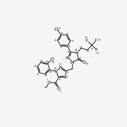 COC(=O)c1nc(Cn2nc(-c3ccc(Cl)cc3)n(CCC(F)(F)F)c2=O)nn1-c1ccccc1Cl